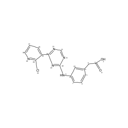 O=C(O)Cc1cccc(Nc2ncnc(-c3cccnc3Cl)n2)c1